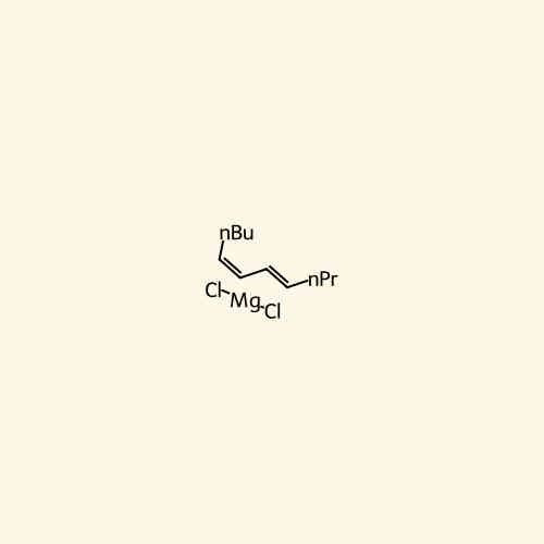 [CH2]CC/C=C/C=C\CCCC.[Cl][Mg][Cl]